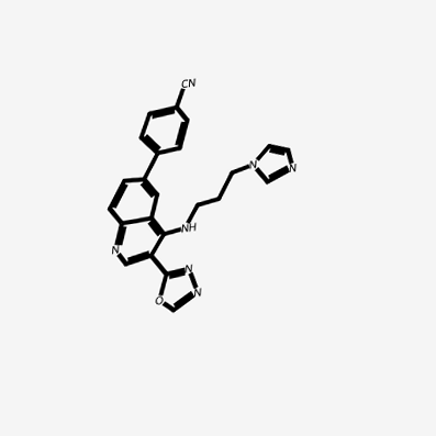 N#Cc1ccc(-c2ccc3ncc(-c4nnco4)c(NCCCn4ccnc4)c3c2)cc1